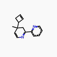 CC1(C2C=CC2)C=CN=C(c2ccccn2)C1